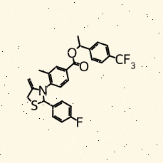 C=C1CSC(c2ccc(F)cc2)N1c1ccc(C(=O)OC(C)c2ccc(C(F)(F)F)cc2)cc1C